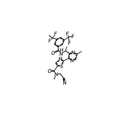 Cc1cnc(-c2ncc(C(=O)N(C)CC#N)s2)c(C(C)NC(=O)c2cc(C(C)(F)F)cc(C(F)(F)F)c2)n1